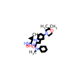 C[C@H]1C[C@]1(C(=N)NO)n1c(C(=O)N(C)c2ccccc2)cc2cc(N3CCOC(C)(C)C3)ccc21